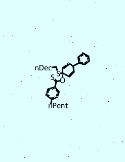 CCCCCCCCCCCSC1(OC(=S)c2ccc(CCCCC)cc2)C=CC(c2ccccc2)C=C1